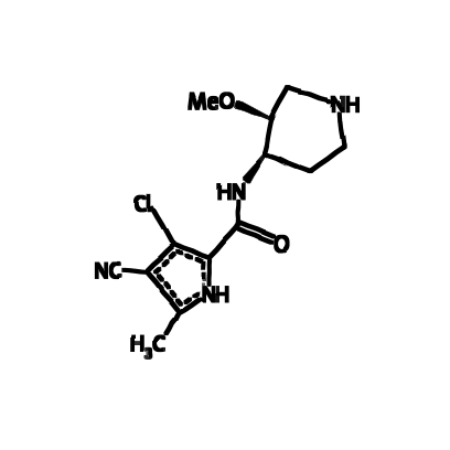 CO[C@H]1CNCC[C@H]1NC(=O)c1[nH]c(C)c(C#N)c1Cl